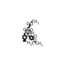 CCOC(=O)CCn1c(=O)[nH]/c(=N\c2ccc(OC(C)C)c(Cl)c2)n(CC2CCC3(CC2)CC3)c1=O